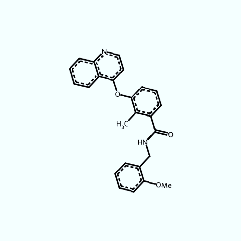 COc1ccccc1CNC(=O)c1cccc(Oc2ccnc3ccccc23)c1C